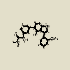 CCc1c(-c2cncc(C(O)C(=O)N(C)C)c2)cnc2[nH]cc(-c3ccccc3OC)c12